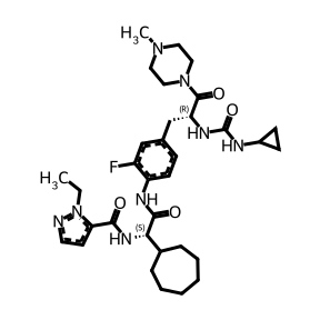 CCn1nccc1C(=O)N[C@H](C(=O)Nc1ccc(C[C@@H](NC(=O)NC2CC2)C(=O)N2CCN(C)CC2)cc1F)C1CCCCCC1